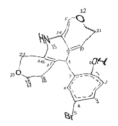 Oc1ccc(Br)cc1C1C2=CCOC=C2NC2=C1CCOC2